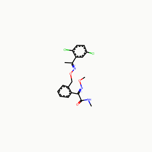 CNC(=O)/C(=N/OC)c1ccccc1CO/N=C(\C)c1cc(Cl)ccc1Cl